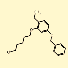 CCc1ccc(OCc2ccccc2)cc1OCCCCCCl